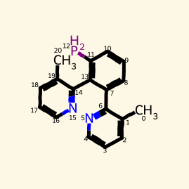 Cc1cccnc1-c1cccc(P)c1-c1ncccc1C